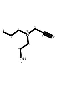 C#CCN(CC[CH2])CCO